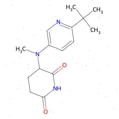 CN(c1ccc(C(C)(C)C)nc1)C1CCC(=O)NC1=O